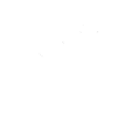 CC(NC(=O)[C@@H]1CCN(CC(=O)NC23CC4CC(CC(C4)C2)C3)C1)c1ccc(OCC(F)(F)F)s1